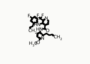 C=CCCc1nc(OC)ccc1NC(=O)c1ccnc(C(F)(F)F)c1Nc1ccc(F)cc1CC=C